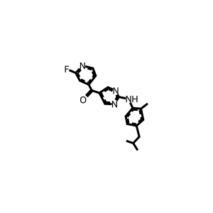 Cc1cc(CC(C)C)ccc1Nc1ncc(C(=O)c2ccnc(F)c2)cn1